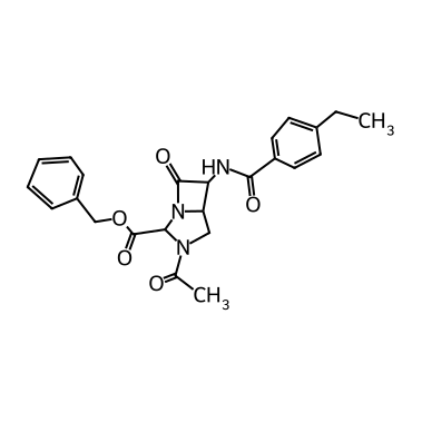 CCc1ccc(C(=O)NC2C(=O)N3C2CN(C(C)=O)C3C(=O)OCc2ccccc2)cc1